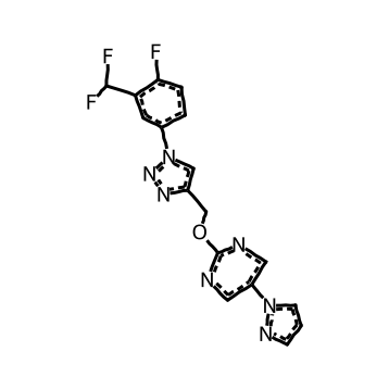 Fc1ccc(-n2cc(COc3ncc(-n4cccn4)cn3)nn2)cc1C(F)F